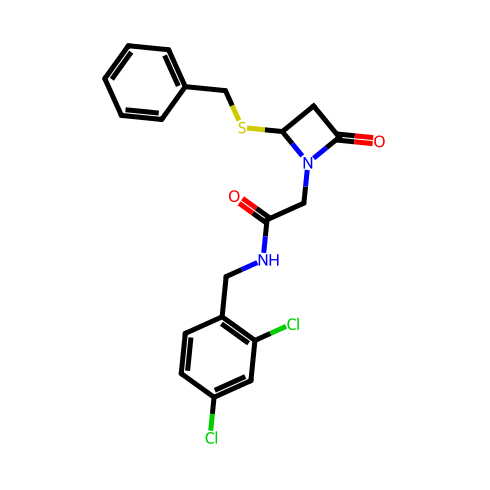 O=C(CN1C(=O)CC1SCc1ccccc1)NCc1ccc(Cl)cc1Cl